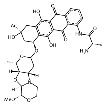 CO[C@H]1OCCN2[C@@H]1O[C@@H]1[C@H](C)OC(O[C@H]3C[C@](O)(C(C)=O)Cc4c(O)c5c(c(O)c43)C(=O)c3c(NC(=O)[C@H](C)N)cccc3C5=O)C[C@@H]12